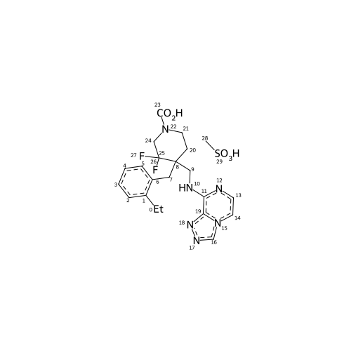 CCc1ccccc1CC1(CNc2nccn3cnnc23)CCN(C(=O)O)CC1(F)F.CS(=O)(=O)O